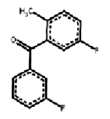 Cc1ccc(F)cc1C(=O)c1cccc(F)c1